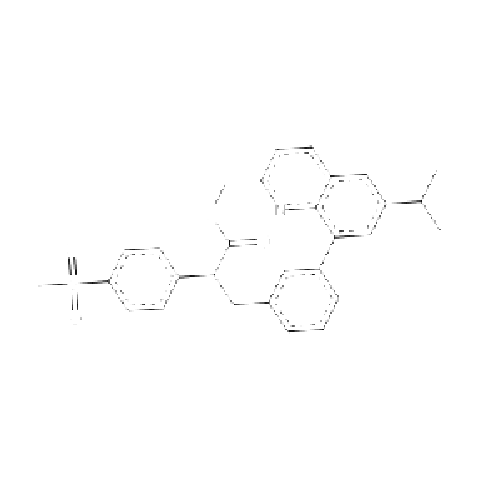 COC(=O)C(Cc1cccc(-c2cc(C(C)C)cc3cccnc23)c1)c1ccc(S(C)(=O)=O)cc1